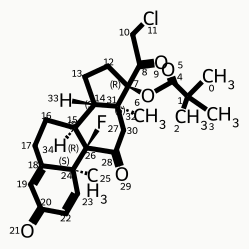 CC(C)(C)C(=O)O[C@]1(C(=O)CCl)CC[C@H]2[C@@H]3CCC4=CC(=O)C=C[C@]4(C)[C@@]3(F)C(=O)C[C@@]21C